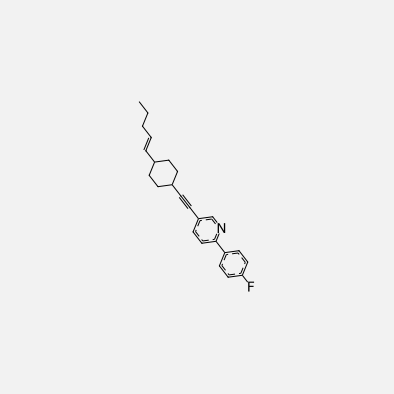 CCCC=CC1CCC(C#Cc2ccc(-c3ccc(F)cc3)nc2)CC1